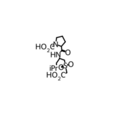 CC(C)CC(CS(=O)(=O)CC(=O)O)NC(=O)C1CCCN1C(=O)O